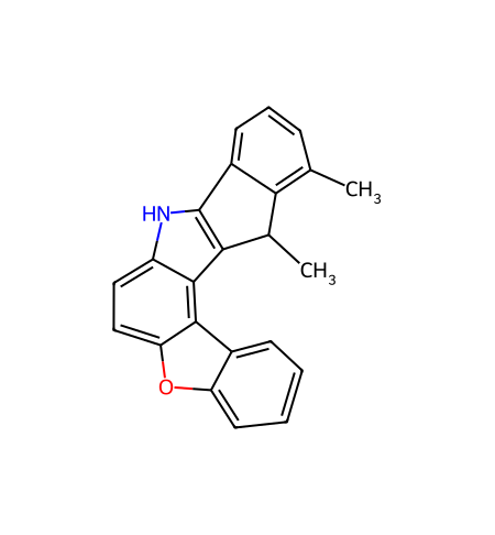 Cc1cccc2c1C(C)c1c-2[nH]c2ccc3oc4ccccc4c3c12